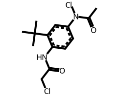 CC(=O)N(Cl)c1ccc(NC(=O)CCl)c(C(C)(C)C)c1